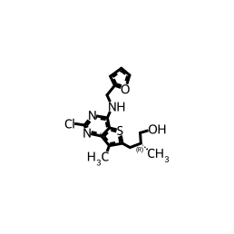 Cc1c(C[C@@H](C)CO)sc2c(NCc3ccco3)nc(Cl)nc12